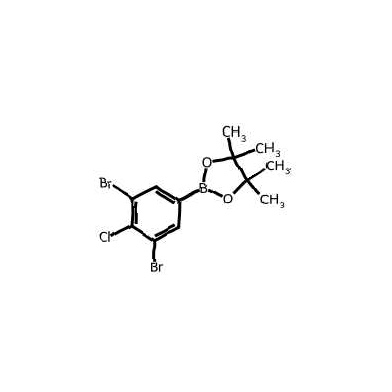 CC1(C)OB(c2cc(Br)c(Cl)c(Br)c2)OC1(C)C